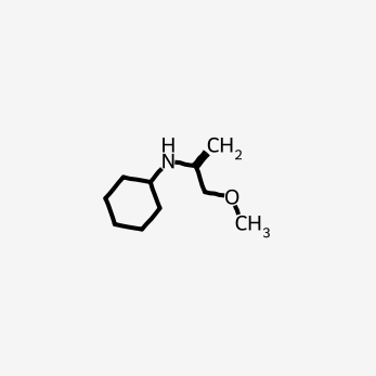 C=C(COC)NC1CCCCC1